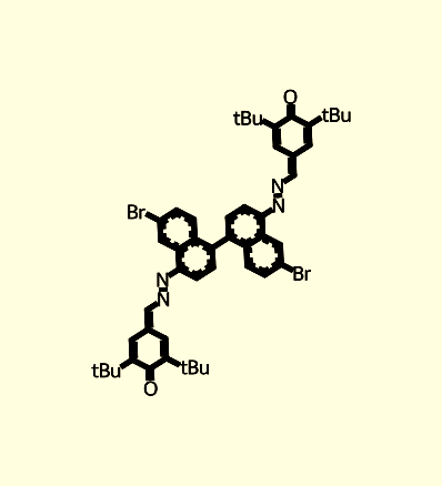 CC(C)(C)C1=CC(=C/N=N/c2ccc(-c3ccc(/N=N/C=C4C=C(C(C)(C)C)C(=O)C(C(C)(C)C)=C4)c4cc(Br)ccc34)c3ccc(Br)cc23)C=C(C(C)(C)C)C1=O